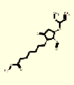 C=CC(OC)O[C@@H]1CC(=O)[C@H](CCCCCCC(=O)OC)[C@H]1C=O